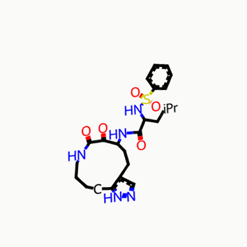 CC(C)CC(NS(=O)(=O)c1ccccc1)C(=O)NC1CCc2cn[nH]c2CCCCNC(=O)C1=O